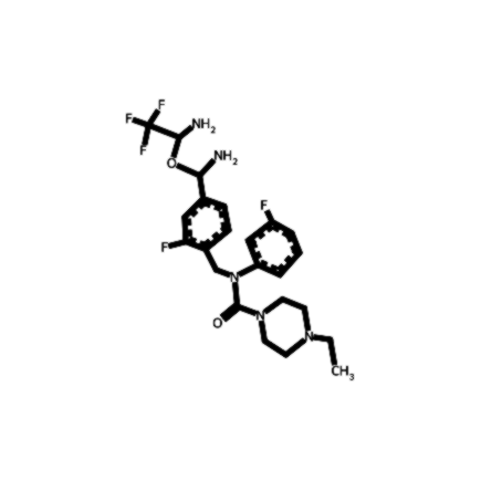 CCN1CCN(C(=O)N(Cc2ccc(C(N)OC(N)C(F)(F)F)cc2F)c2cccc(F)c2)CC1